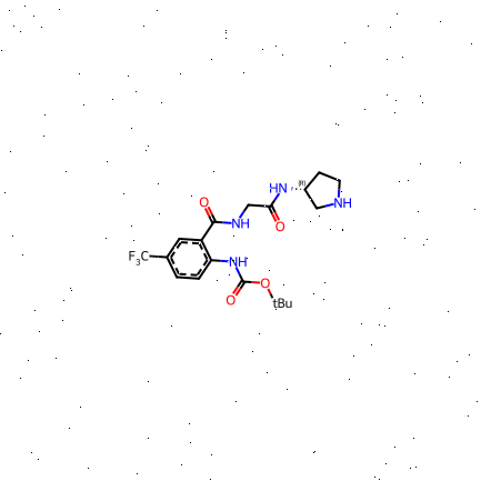 CC(C)(C)OC(=O)Nc1ccc(C(F)(F)F)cc1C(=O)NCC(=O)N[C@@H]1CCNC1